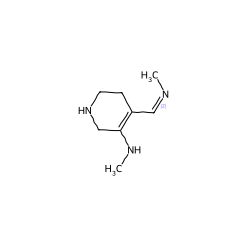 C/N=C\C1=C(NC)CNCC1